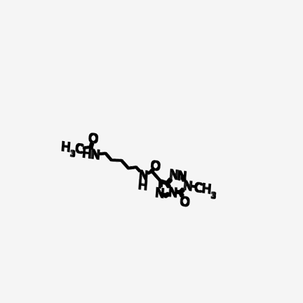 CC(=O)NCCCCCNC(=O)c1ncn2c(=O)n(C)nnc12